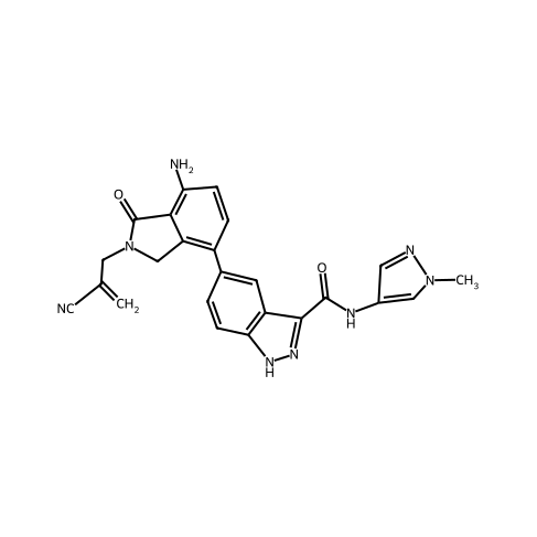 C=C(C#N)CN1Cc2c(-c3ccc4[nH]nc(C(=O)Nc5cnn(C)c5)c4c3)ccc(N)c2C1=O